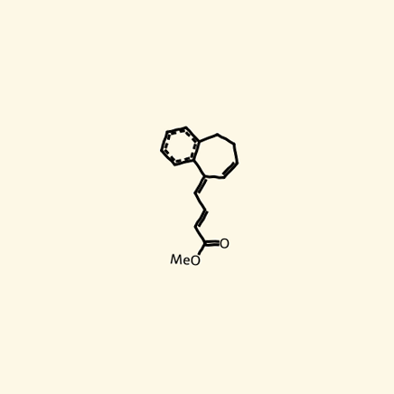 COC(=O)C=CC=C1C=CCCc2ccccc21